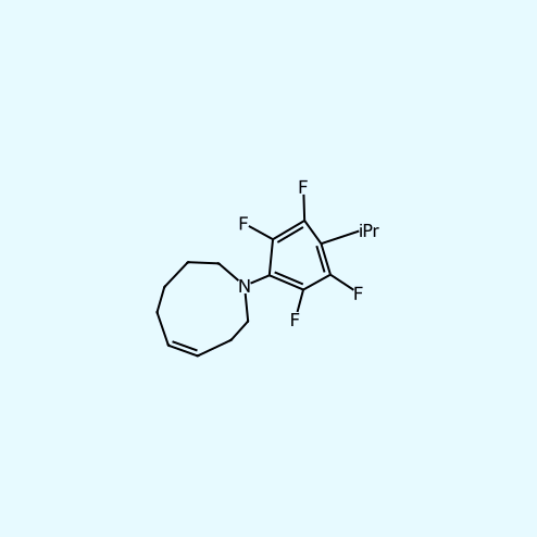 CC(C)c1c(F)c(F)c(N2CC/C=C\CCCC2)c(F)c1F